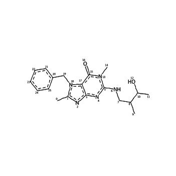 Cc1nc2nc(NCC(C)C(C)O)n(C)c(=O)c2n1Cc1ccccc1